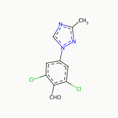 Cc1ncn(-c2cc(Cl)c(C=O)c(Cl)c2)n1